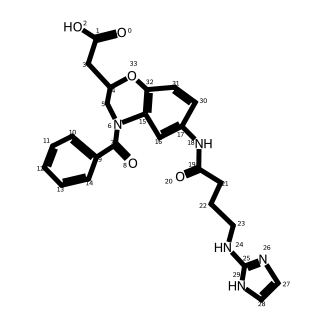 O=C(O)CC1CN(C(=O)c2ccccc2)c2cc(NC(=O)CCCNc3ncc[nH]3)ccc2O1